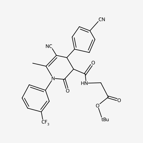 CC1=C(C#N)C(c2ccc(C#N)cc2)C(C(=O)NCC(=O)OC(C)(C)C)C(=O)N1c1cccc(C(F)(F)F)c1